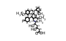 COc1ccc(CN(c2nc(-c3ccc(F)cc3)c(/C=C/[C@@H](O)C[C@@H](O)CC(=O)O)c(C(C)C)n2)c2ccnn2C)cc1